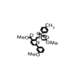 COC(=O)CN(Cc1nc(-c2cccc(OC)c2)ccc1C(=O)OC)S(=O)(=O)c1ccc(C)cc1